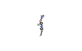 CCCCCCc1ccc(N=Nc2ccc(OCCCC[N+](C)(C)CC)cc2)cc1.[Br-]